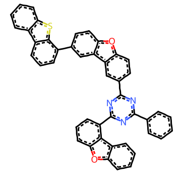 c1ccc(-c2nc(-c3ccc4oc5ccc(-c6cccc7c6sc6ccccc67)cc5c4c3)nc(-c3cccc4oc5ccccc5c34)n2)cc1